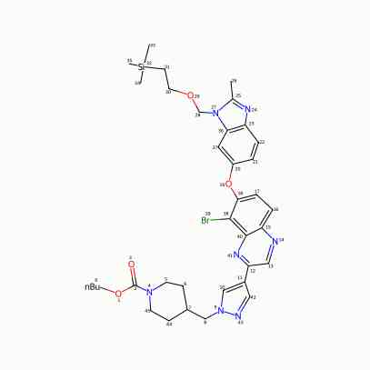 CCCCOC(=O)N1CCC(Cn2cc(-c3cnc4ccc(Oc5ccc6nc(C)n(COCC[Si](C)(C)C)c6c5)c(Br)c4n3)cn2)CC1